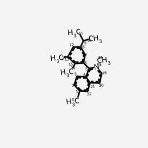 Cc1ccc2c(-c3cc(C(C)C)cc(C)c3C)[n+](C)ccc2c1